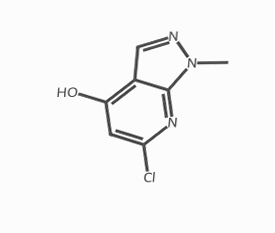 Cn1ncc2c(O)cc(Cl)nc21